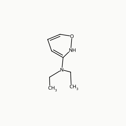 CCN(CC)C1=CC=CON1